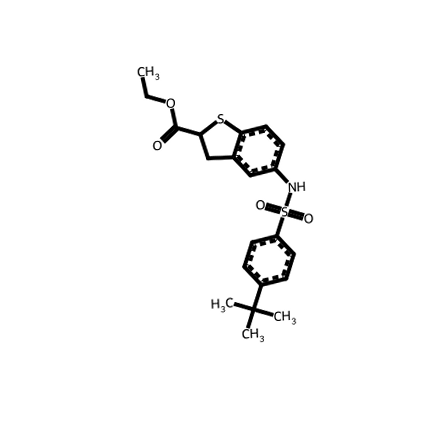 CCOC(=O)C1Cc2cc(NS(=O)(=O)c3ccc(C(C)(C)C)cc3)ccc2S1